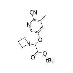 Cc1cc(OC(C(=O)OC(C)(C)C)N2CCC2)cnc1C#N